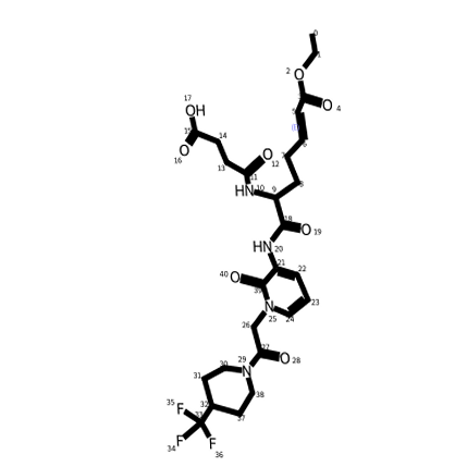 CCOC(=O)/C=C/CCC(NC(=O)CCC(=O)O)C(=O)Nc1cccn(CC(=O)N2CCC(C(F)(F)F)CC2)c1=O